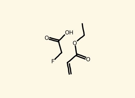 C=CC(=O)OCC.O=C(O)CF